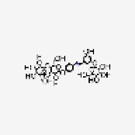 OCC1OC(Oc2cc(O)cc(/C=C/c3ccc(OC4OC(CO)C(OC5OC(CO)C(O)C(O)C5O)C(O)C4O)cc3)c2)C(O)C(O)C1O